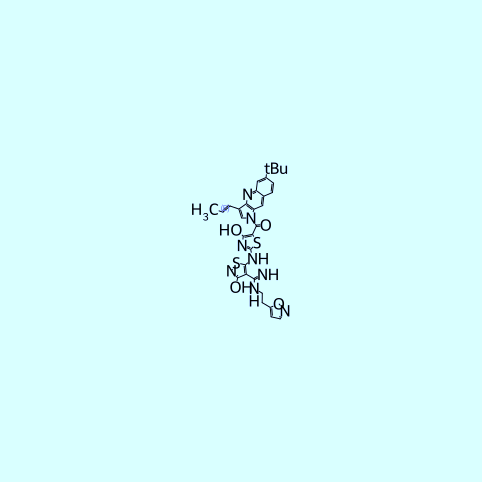 C/C=C/c1cn(C(=O)c2sc(Nc3snc(O)c3C(=N)NCCc3ccno3)nc2O)c2cc3ccc(C(C)(C)C)cc3nc12